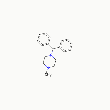 [CH2]N1CCN(C(c2ccccc2)c2ccccc2)CC1